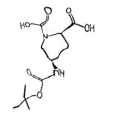 CC(C)(C)OC(=O)N[C@@H]1C[C@H](C(=O)O)N(C(=O)O)C1